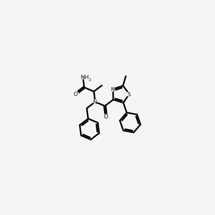 Cc1nc(C(=O)N(Cc2ccccc2)C(C)C(N)=O)c(-c2ccccc2)s1